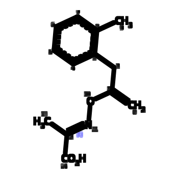 C=C(Cc1ccccc1C)O/N=C(\C)C(=O)O